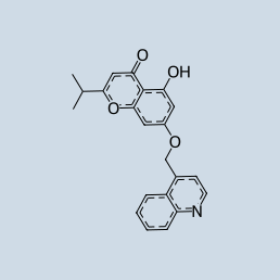 CC(C)c1cc(=O)c2c(O)cc(OCc3ccnc4ccccc34)cc2o1